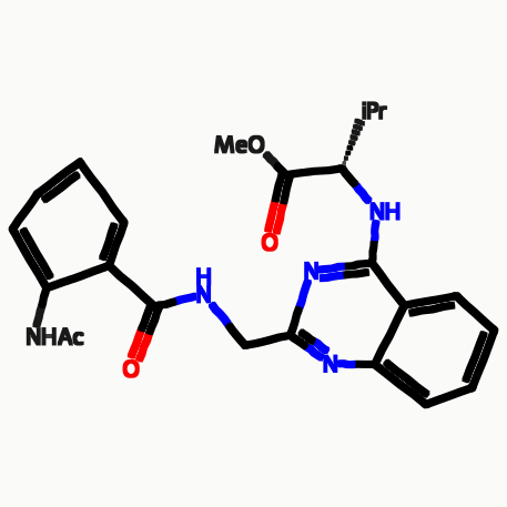 COC(=O)[C@@H](Nc1nc(CNC(=O)c2ccccc2NC(C)=O)nc2ccccc12)C(C)C